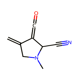 C=C1CN(C)C(C#N)C1=C=O